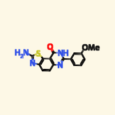 COc1cccc(-c2nc3ccc4nc(N)sc4c3c(=O)[nH]2)c1